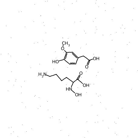 COc1cc(CC(=O)O)ccc1O.NCCCCC(NO)C(=O)O